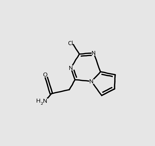 NC(=O)Cc1nc(Cl)nc2cccn12